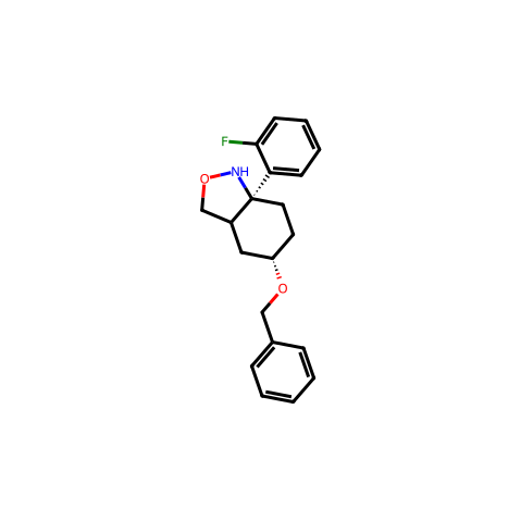 Fc1ccccc1[C@]12CC[C@H](OCc3ccccc3)CC1CON2